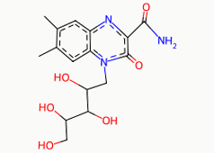 Cc1cc2nc(C(N)=O)c(=O)n(CC(O)C(O)C(O)CO)c2cc1C